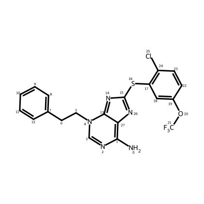 Nc1ncn(CCc2ccccc2)c2nc(Sc3cc(OC(F)(F)F)ccc3Cl)nc1-2